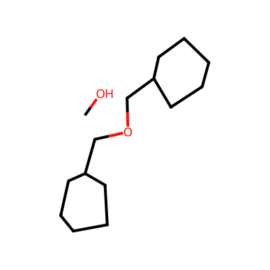 C1CCC(COCC2CCCCC2)CC1.CO